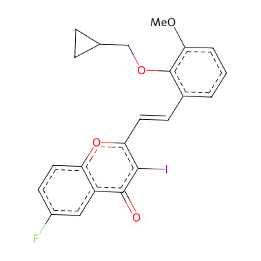 COc1cccc(C=Cc2oc3ccc(F)cc3c(=O)c2I)c1OCC1CC1